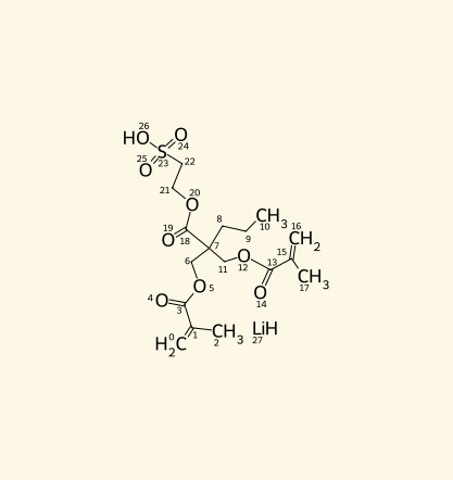 C=C(C)C(=O)OCC(CCC)(COC(=O)C(=C)C)C(=O)OCCS(=O)(=O)O.[LiH]